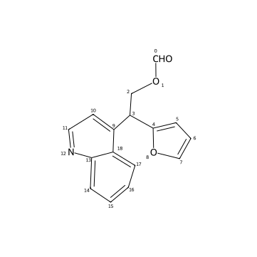 O=COCC(c1ccco1)c1ccnc2ccccc12